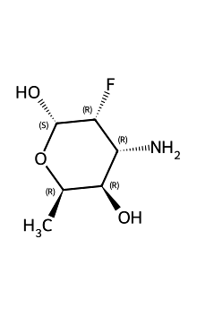 C[C@H]1O[C@H](O)[C@H](F)[C@H](N)[C@H]1O